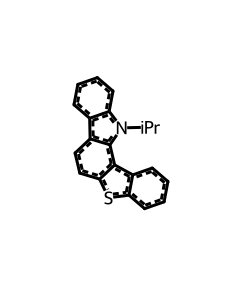 CC(C)n1c2ccccc2c2ccc3sc4ccccc4c3c21